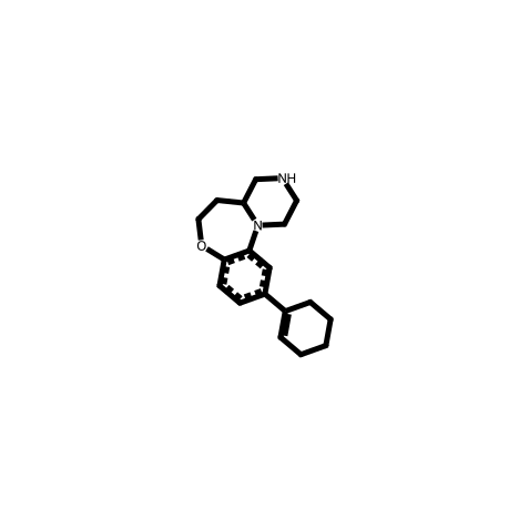 C1=C(c2ccc3c(c2)N2CCNCC2CCO3)CCCC1